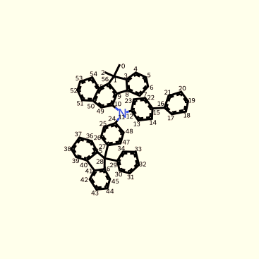 CC1(C)c2ccccc2-c2c(N(c3ccc(-c4ccccc4)cc3)c3ccc(C4(c5ccccc5)c5ccccc5-c5ccccc54)cc3)cc3ccccc3c21